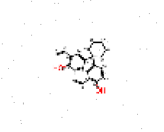 C=Cc1cc(C2(c3ccc(O)c(C=C)c3)CCCCC2)ccc1O